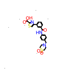 O=C(Nc1ccc(CN2CCS(=O)(=O)CC2)cc1)c1cccc(-c2csc(C(=O)O)n2)c1